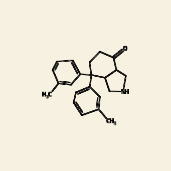 Cc1cccc(C2(c3cccc(C)c3)CCC(=O)C3CNCC32)c1